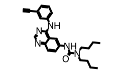 C#Cc1cccc(Nc2ncnc3ccc(NC(=O)N(CCCC)CCCC)cc23)c1